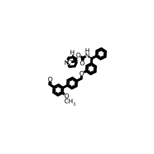 COc1ccc(C=O)cc1-c1ccc(COc2cccc([C@@H](NC(=O)O[C@H]3CN4CCC3CC4)c3ccccc3)c2)cc1